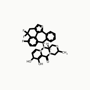 CC1CN2C(=O)C3=C(O)C(O)C=CN3N([C@@H]3c4ccccc4-c4scc5c4-c4c3ccc(F)c4C(F)(F)C5)[C@@H]2CO1